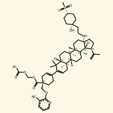 C=C(C)[C@@H]1CC[C@]2(NCC[C@]3(O)CC[C@@H](S(C)(=O)=O)CC3)CC[C@]3(C)[C@H](CC[C@@H]4[C@@]5(C)CC=C(C6=CC[C@@](COc7ncccc7C#N)(C(=O)OCOC(=O)C(C)C)CC6)C(C)(C)[C@@H]5CC[C@]43C)[C@@H]12